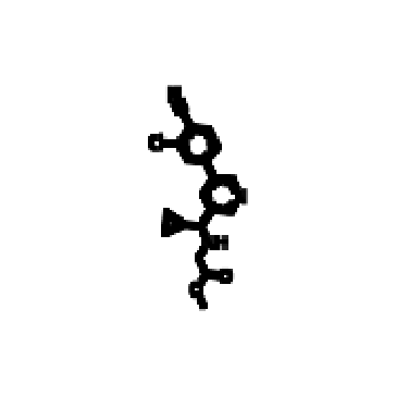 COC(=O)CNC(c1cncc(-c2ccc(C#N)c(Cl)c2)c1)C1CC1